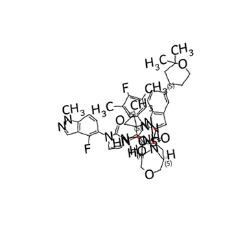 Cc1cc(-n2nc3c(c2-n2ccn(-c4ccc5c(cnn5C)c4F)c2=O)[C@@H]2COC[C@H](C3)N2S(=O)(=O)c2cc3cc([C@H]4CCOC(C)(C)C4)ccc3n2[C@@]2(C(=N)NO)C[C@@H]2C)cc(C)c1F